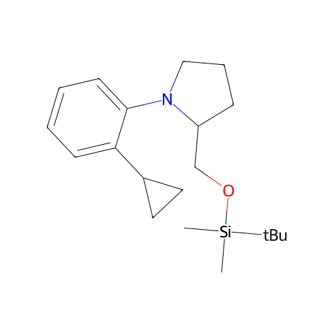 CC(C)(C)[Si](C)(C)OCC1CCCN1c1ccccc1C1CC1